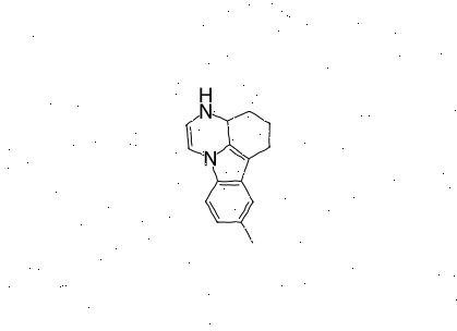 Cc1ccc2c(c1)c1c3n2C=CNC3CCC1